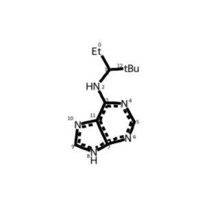 CCC(Nc1ncnc2[nH]cnc12)C(C)(C)C